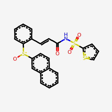 O=C(/C=C/c1ccccc1[S+]([O-])c1ccc2ccccc2c1)NS(=O)(=O)c1cccs1